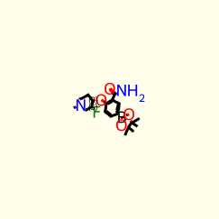 CN1CC[C@@H](Oc2ccc(B3OC(C)(C)C(C)(C)O3)cc2C(N)=O)[C@@H](F)C1